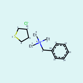 C1CCSC1.CC[N+](CC)(CC)Cc1ccccc1.[Cl-]